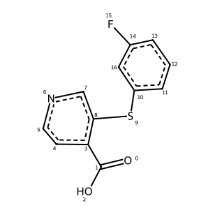 O=C(O)c1ccncc1Sc1cccc(F)c1